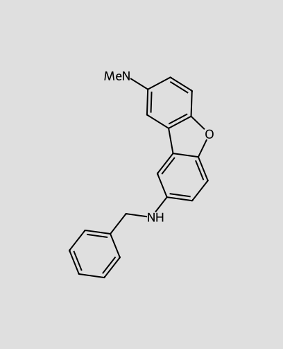 CNc1ccc2oc3ccc(NCc4ccccc4)cc3c2c1